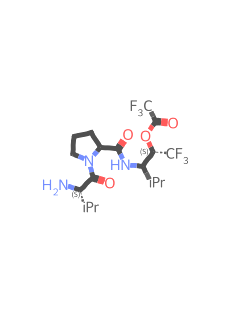 CC(C)C(NC(=O)C1CCCN1C(=O)[C@@H](N)C(C)C)[C@H](OC(=O)C(F)(F)F)C(F)(F)F